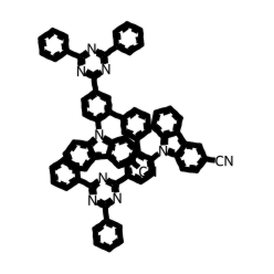 N#Cc1ccc2c(c1)c1ccccc1n2-c1ccc(-c2nc(-c3ccccc3)nc(-c3ccccc3)n2)cc1-c1cccc(-c2cc(-c3nc(-c4ccccc4)nc(-c4ccccc4)n3)ccc2-n2c3ccccc3c3cc(C#N)ccc32)c1